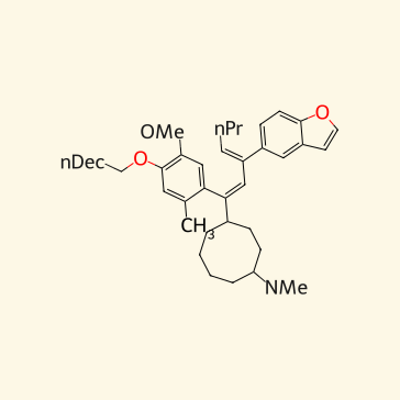 CCC/C=C(/C=C(\c1cc(OC)c(OCCCCCCCCCCC)cc1C)C1CCCCC(NC)CC1)c1ccc2occc2c1